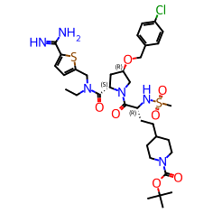 CCN(Cc1ccc(C(=N)N)s1)C(=O)[C@@H]1C[C@@H](OCc2ccc(Cl)cc2)CN1C(=O)[C@@H](CCC1CCN(C(=O)OC(C)(C)C)CC1)NS(C)(=O)=O